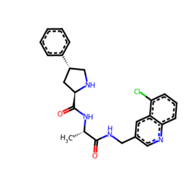 C[C@H](NC(=O)[C@H]1C[C@H](c2ccccc2)CN1)C(=O)NCc1cnc2cccc(Cl)c2c1